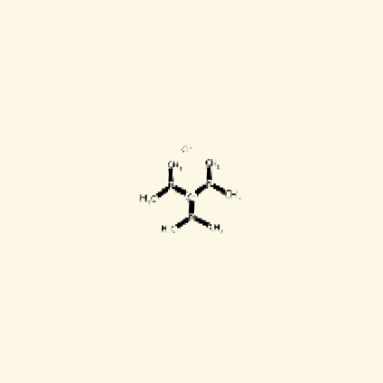 C[N](C)[Zr+]([N](C)C)[N](C)C.[Cl-]